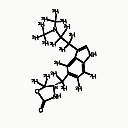 [2H]c1c(C([2H])([2H])[C@@H]2NC(=O)OC2([2H])[2H])c([2H])c2c(C([2H])([2H])C([2H])([2H])N(C([2H])([2H])[2H])C([2H])([2H])[2H])c[nH]c2c1[2H]